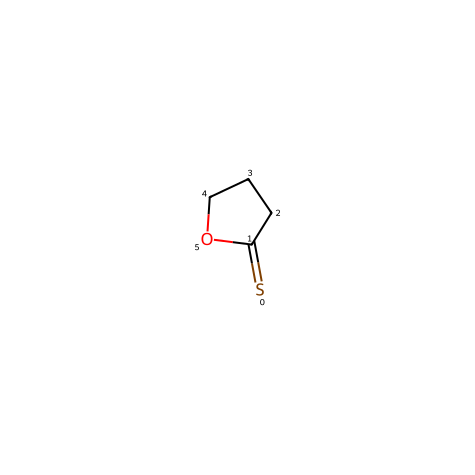 S=C1CCCO1